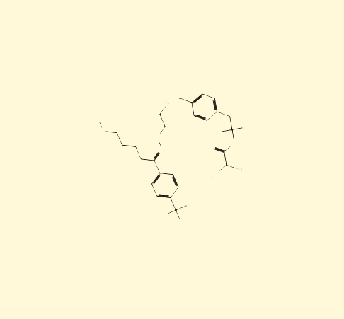 CC(N)C(=O)OC(C)(C)Cc1ccc(Cl)cc1.COCCCC/C(=N\OCCN)c1ccc(C(F)(F)F)cc1